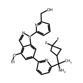 CCOc1cc(-c2cccc(C(C)(N)C3CC(F)(F)C3)n2)cc2c1cnn2-c1cccc(CO)n1